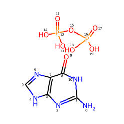 Nc1nc2[nH]cnc2c(=O)[nH]1.O=P(O)(O)OP(=O)(O)O